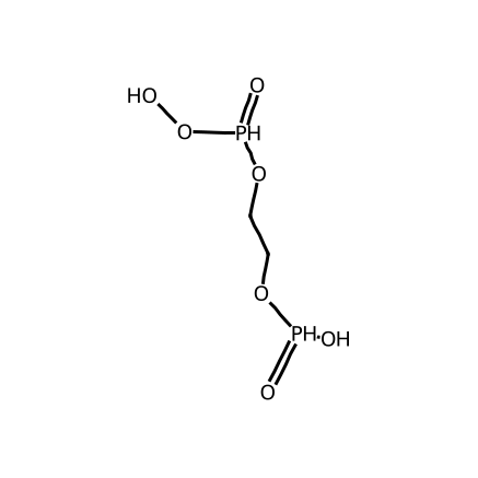 O=[PH](O)OCCO[PH](=O)OO